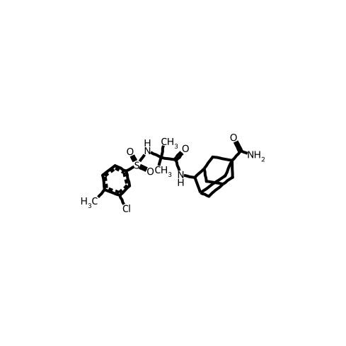 Cc1ccc(S(=O)(=O)NC(C)(C)C(=O)NC2C3CC4CC2CC(C(N)=O)(C4)C3)cc1Cl